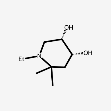 CCN1C[C@H](O)[C@H](O)CC1(C)C